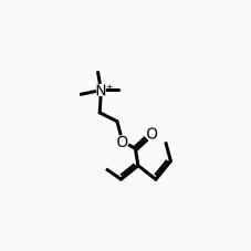 C/C=C\C(=C\C)C(=O)OCC[N+](C)(C)C